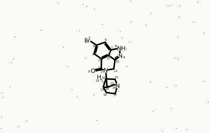 O=C1c2cc(Br)cc3[nH]nc(c23)CN1[C@H]1CN2CCC1CC2